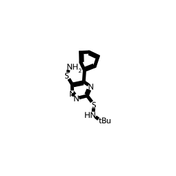 CC(C)(C)NSc1nnc(SN)c(-c2ccccc2)n1